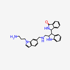 NCCCn1ccc2ccc(CNCC3Nc4ccccc4C3C3NC(=O)c4ccccc43)cc21